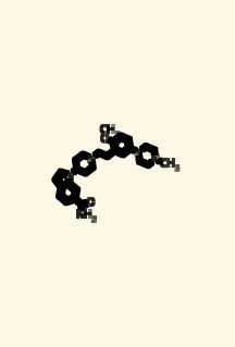 COc1ccc(N2CCN(C)CC2)cc1CCN1CCC(n2ccc3ccc(C(N)=O)cc32)CC1